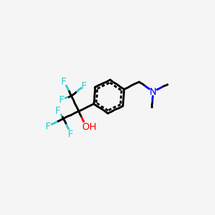 CN(C)Cc1ccc(C(O)(C(F)(F)F)C(F)(F)F)cc1